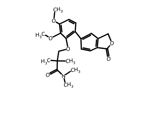 COc1ccc(-c2ccc3c(c2)COC3=O)c(OCC(C)(C)C(=O)N(C)C)c1OC